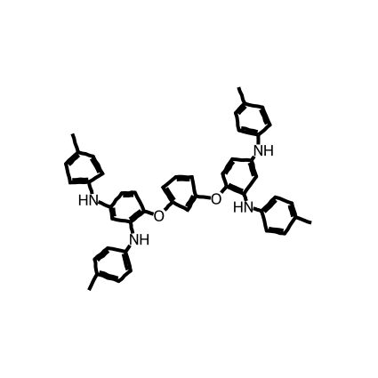 Cc1ccc(Nc2ccc(Oc3cccc(Oc4ccc(Nc5ccc(C)cc5)cc4Nc4ccc(C)cc4)c3)c(Nc3ccc(C)cc3)c2)cc1